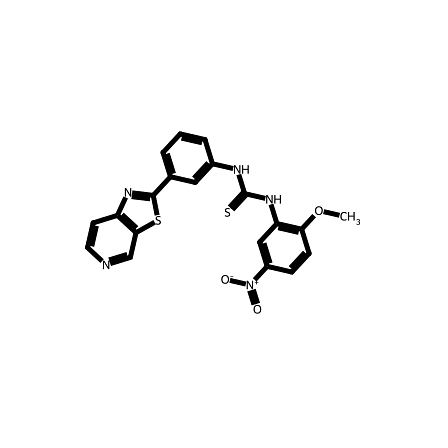 COc1ccc([N+](=O)[O-])cc1NC(=S)Nc1cccc(-c2nc3ccncc3s2)c1